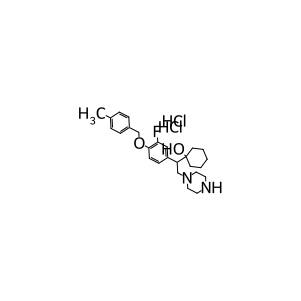 Cc1ccc(COc2ccc(C(CN3CCNCC3)C3(O)CCCCC3)cc2F)cc1.Cl.Cl